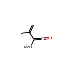 C=C(C)C(=C=O)OC